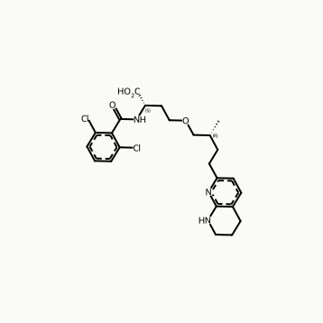 C[C@H](CCc1ccc2c(n1)NCCC2)COCC[C@H](NC(=O)c1c(Cl)cccc1Cl)C(=O)O